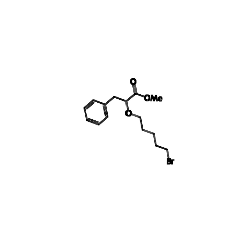 COC(=O)C(Cc1ccccc1)OCCCCCBr